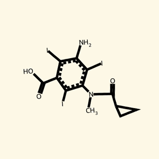 CN(C(=O)C1CC1)c1c(I)c(N)c(I)c(C(=O)O)c1I